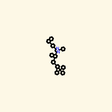 c1ccc(-c2nc(-c3ccc(-c4cccc5ccccc45)cc3)cc(-c3ccc(-c4cccc(-c5ccc6c(c5)-c5ccccc5C6(c5ccccc5)c5ccccc5)c4)c4ccccc34)n2)cc1